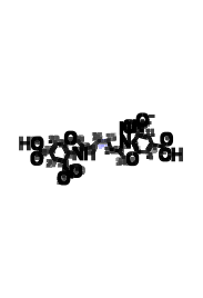 O=C(O)c1cc2c(c([N+](=O)[O-])c1)NC(C/C=C\CC1COc3cc(C(=O)O)cc([N+](=O)[O-])c3N1)CO2